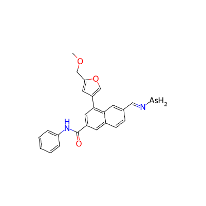 COCc1cc(-c2cc(C(=O)Nc3ccccc3)cc3ccc(C=N[AsH2])cc23)co1